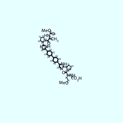 COCC[C@H](NC(=O)O)C(=O)N1CCC[C@H]1c1ncc(-c2ccc(-c3ccc(-c4cnc([C@@H]5CCCN5C(=O)[C@H](C)NC(=O)OC)[nH]4)cc3)cc2)[nH]1